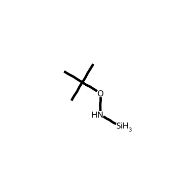 CC(C)(C)ON[SiH3]